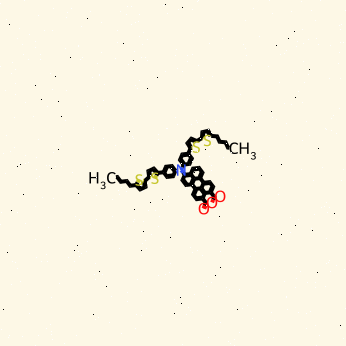 CCCCCc1ccc(-c2ccc(-c3ccc(N(c4ccc(-c5ccc(-c6ccc(CCCCC)s6)s5)cc4)c4ccc5c6ccc7c8c(ccc(c9cccc4c95)c86)C(=O)OC7=O)cc3)s2)s1